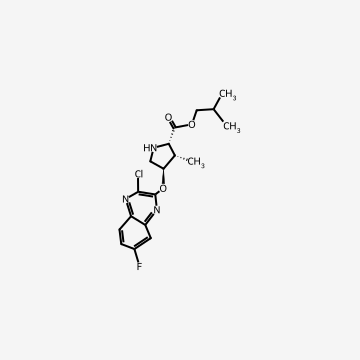 CC(C)COC(=O)[C@H]1NC[C@H](Oc2nc3cc(F)ccc3nc2Cl)[C@H]1C